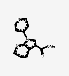 COC(=O)c1cn(-c2ccncc2)c2ncccc12